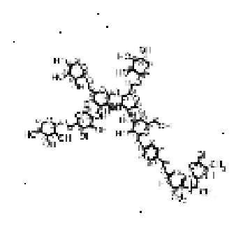 C[C@H](NC(=O)[C@H](C)NC(=O)[C@H](C)NC(=O)OCc1ccc(O[C@@H]2OC(CO)[C@@H](O[C@@H]3OC(CO[C@H]4OC[C@@H](O)C(O)C4O)[C@@H](O[C@@H]4OC(CO[C@H]5OC[C@@H](O)C(O)C5O)[C@@H](O[C@@H]5OC(CO[C@H]6OC[C@@H](O)C(O)C6O)[C@@H](O)C(O)C5O)C(O)C4O)C(O)C3O)C(O)C2O)cc1)C(=O)O